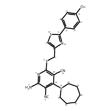 [C-]#[N+]c1c(N)nc(SCc2csc(-c3ccc(Cl)cc3)n2)c(C#N)c1N1CCCCCC1